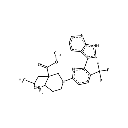 COC(=O)C1(CC(C)C)CN(c2ccc(C(F)(F)F)c(-c3n[nH]c4ncccc34)n2)CCC1N